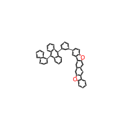 c1cc(-c2ccc3oc4cc5cc6c(cc5cc4c3c2)oc2ccccc26)cc(-c2c3ccccc3c(-c3cccc4ccccc34)c3ccccc23)c1